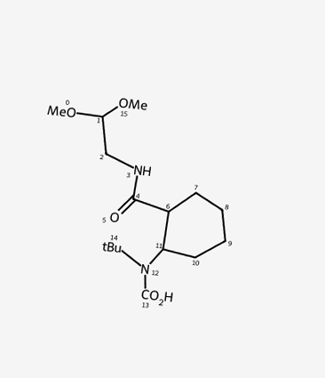 COC(CNC(=O)C1CCCCC1N(C(=O)O)C(C)(C)C)OC